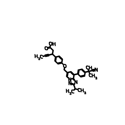 CC#CC(CC(=O)O)c1ccc(OCc2cc(-c3ccc(C(C)(C)C#N)cc3)c3nc(C(C)C)nn3c2)cc1